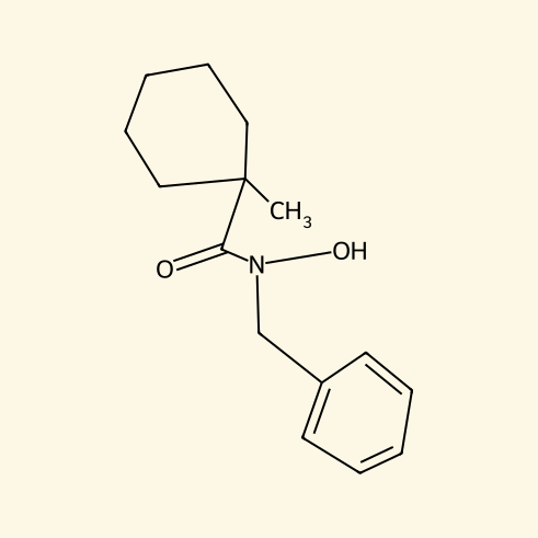 CC1(C(=O)N(O)Cc2ccccc2)CCCCC1